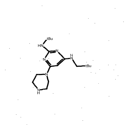 CC(C)(C)CNc1cc(N2CCNCC2)nc(NC(C)(C)C)n1